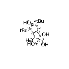 CC(C)(C)c1cc(C(O)C(CO)(CO)CO)cc(C(C)(C)C)c1O